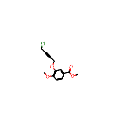 COC(=O)c1ccc(OC)c(OCC#CCCl)c1